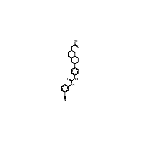 N#Cc1cccc(NC(=O)Nc2ccc(C3CCC4CC(CC(=O)O)CCC4C3)cc2)c1